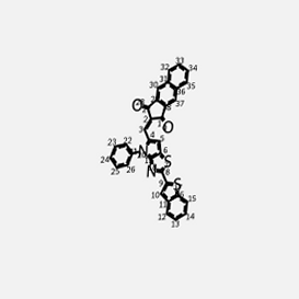 O=C1C(=Cc2cc3sc(-c4cc5ccccc5s4)nc3n2-c2ccccc2)C(=O)c2cc3ccccc3cc21